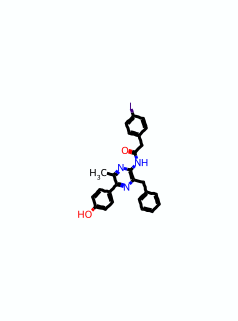 Cc1nc(NC(=O)Cc2ccc(I)cc2)c(Cc2ccccc2)nc1-c1ccc(O)cc1